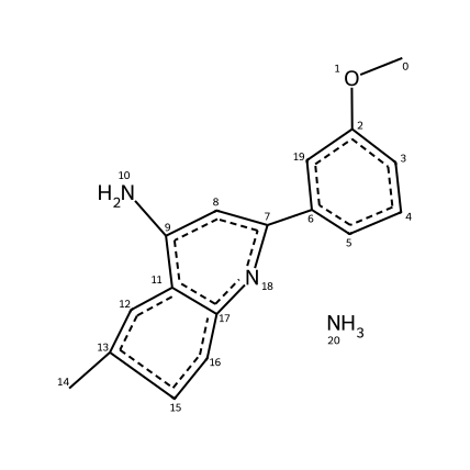 COc1cccc(-c2cc(N)c3cc(C)ccc3n2)c1.N